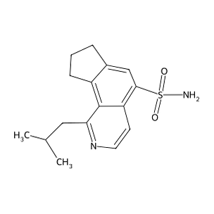 CC(C)Cc1nccc2c(S(N)(=O)=O)cc3c(c12)CCC3